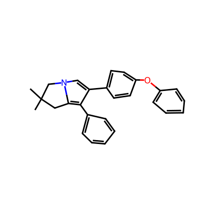 CC1(C)Cc2c(-c3ccccc3)c(-c3ccc(Oc4ccccc4)cc3)cn2C1